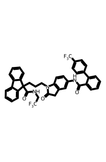 O=C(Nc1ccc2c(c1)CC(=O)N2CCCC1(C(=O)NCC(F)(F)F)c2ccccc2-c2ccccc21)c1ccccc1-c1ccc(C(F)(F)F)cc1